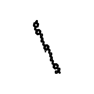 CC(=O)OC1CCN(CCOCCOCCN2CCN(CCOCCOC3CCN(CC4CCN(C)CC4)CC3)C[C@H]2C)CC1